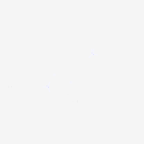 C=C1/C=C(c2ccc(Nc3cccc(-c4ccccc4)c3)c(C3C=CC=CC3)c2)\C=C/N(c2ccc(C)cc2)c2ccccc21